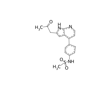 CC(=O)Cc1cc2c(-c3ccc(NS(C)(=O)=O)cc3)ccnc2[nH]1